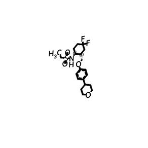 CCS(=O)(=O)N[C@H]1CCC(F)(F)C[C@@H]1COc1ccc(C2CCOCC2)cc1